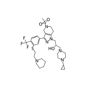 CS(=O)(=O)N1CCc2c(c(-c3ccc(C(F)(F)F)c(SCCN4CCCCC4)c3)nn2CC(O)CN2CCN(C3CC3)CC2)C1